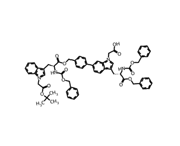 CC(C)(C)OC(=O)Cn1cc(C[C@H](NC(=O)OCc2ccccc2)C(=O)OCc2ccc(-c3ccc4c(C[C@H](NC(=O)OCc5ccccc5)C(=O)OCc5ccccc5)cn(CC(=O)O)c4c3)cc2)c2ccccc21